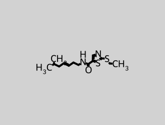 CCSc1ncc(C(=O)NCC/C=C/CC(C)C)s1